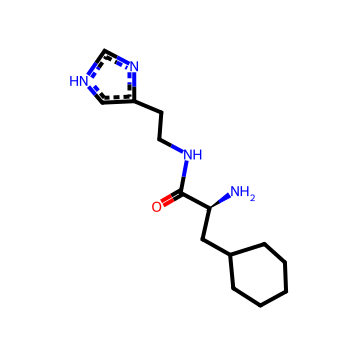 N[C@@H](CC1CCCCC1)C(=O)NCCc1c[nH]cn1